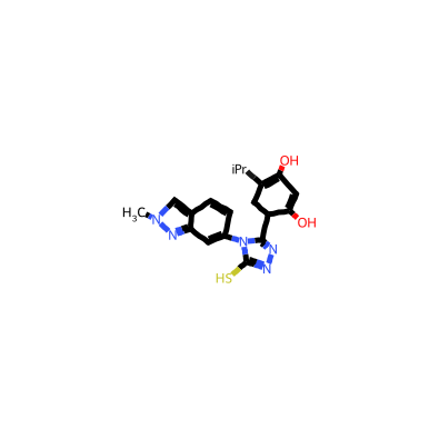 CC(C)C1=C(O)C=C(O)C(c2nnc(S)n2-c2ccc3cn(C)nc3c2)C1